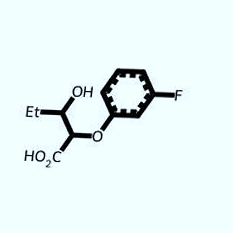 CCC(O)C(Oc1cccc(F)c1)C(=O)O